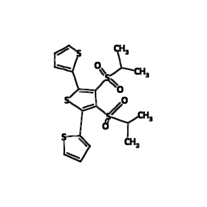 CC(C)S(=O)(=O)c1c(-c2cccs2)sc(-c2cccs2)c1S(=O)(=O)C(C)C